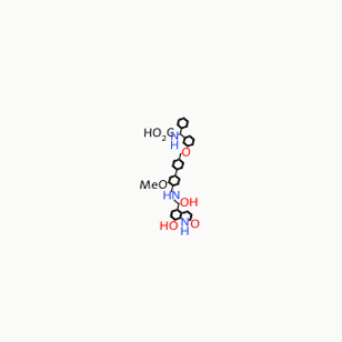 COc1cc(-c2ccc(COc3cccc(C(NC(=O)O)c4ccccc4)c3)cc2)ccc1CNCC(O)c1ccc(O)c2[nH]c(=O)ccc12